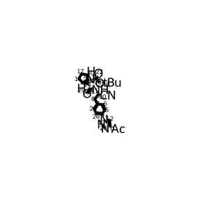 CC(=O)c1cn(-c2ccc(C[C@@H](C#N)NC(=O)[C@@H]3[C@H]4CC[C@H](C4)N3C(=O)OC(C)(C)C)cc2)nn1